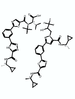 CC(C)[C@@H](C(=O)O)N(C(=O)c1cnc(-c2cccc(-c3nnc(C(=O)N[C@@H](C)C4CC4)[nH]3)c2)o1)C(C)(C)C.C[C@H](NC(=O)c1cc(-c2cccc(-c3ncc(C(=O)N[C@H](C)C4CC4)o3)c2)nn1CC(O)C(F)(F)F)C1CC1